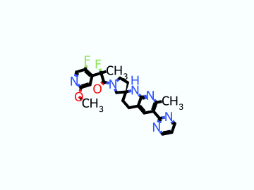 COc1cc(C(C)(F)C(=O)N2CC[C@@]3(CCc4cc(-c5ncccn5)c(C)nc4N3)C2)c(F)cn1